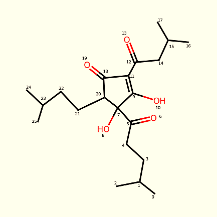 CC(C)CCC(=O)C1(O)C(O)=C(C(=O)CC(C)C)C(=O)C1CCC(C)C